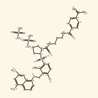 CS(=O)(=O)O.CS(=O)(=O)O.Cc1cc(C)c2cccc(OCc3c(Cl)ccc(S(=O)(=O)N4CCC[C@H]4C(=O)NCCCNC(=O)c4ccc(C(=N)N)cn4)c3Cl)c2n1